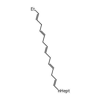 CC/C=C/C/C=C/C/C=C/C/C=C/C/C=C/CCCCCCC